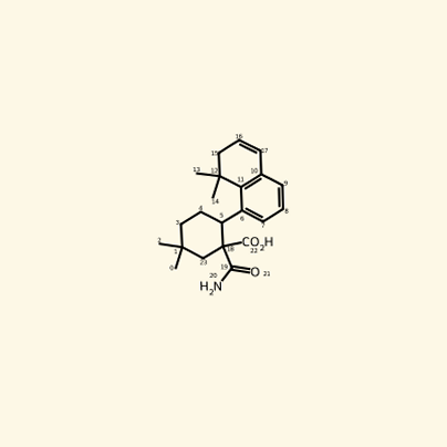 CC1(C)CCC(c2cccc3c2C(C)(C)CC=C3)C(C(N)=O)(C(=O)O)C1